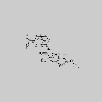 COc1ccc(OC(C)(C)C(=O)NC2C3CC4CC2CC(C(=O)O)(C4)C3)cc1